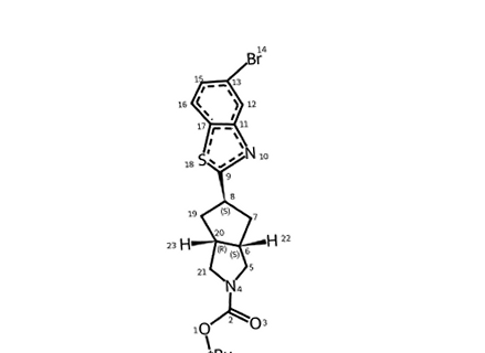 CC(C)(C)OC(=O)N1C[C@H]2C[C@H](c3nc4cc(Br)ccc4s3)C[C@H]2C1